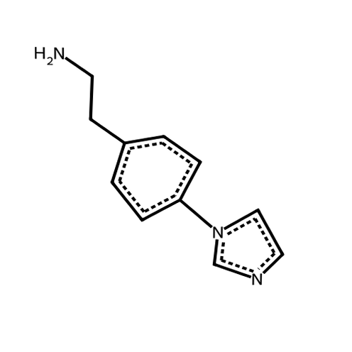 NCCc1ccc(-n2ccnc2)cc1